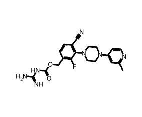 Cc1cc(N2CCN(c3c(C#N)ccc(COC(=O)NC(=N)N)c3F)CC2)ccn1